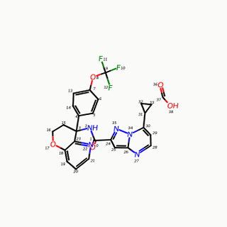 O=C(NC1(c2ccc(OC(F)(F)F)cc2)CCOc2cccnc21)c1cc2nccc(C3CC3)n2n1.O=CO